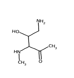 CNC(C(C)=O)C(O)CN